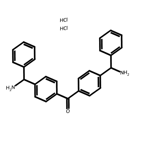 Cl.Cl.NC(c1ccccc1)c1ccc(C(=O)c2ccc(C(N)c3ccccc3)cc2)cc1